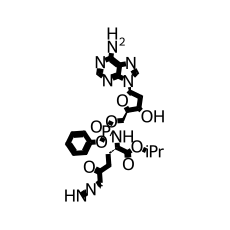 CC(C)OC(=O)[C@H](CCC(=O)C=[N+]=N)NP(=O)(OC[C@H]1O[C@@H](n2cnc3c(N)ncnc32)CC1O)Oc1ccccc1